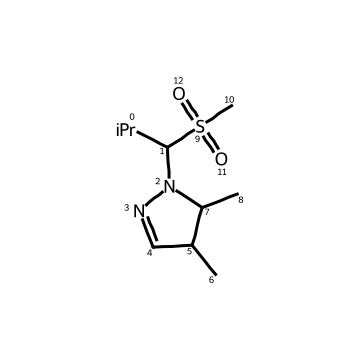 CC(C)C(N1N=CC(C)C1C)S(C)(=O)=O